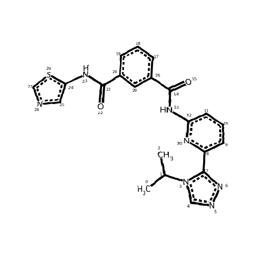 CC(C)n1cnnc1-c1cccc(NC(=O)c2cccc(C(=O)Nc3cncs3)c2)n1